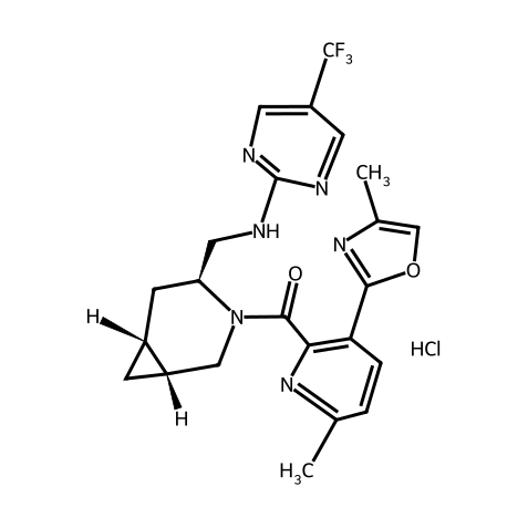 Cc1coc(-c2ccc(C)nc2C(=O)N2C[C@@H]3C[C@@H]3C[C@H]2CNc2ncc(C(F)(F)F)cn2)n1.Cl